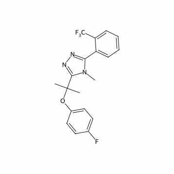 Cn1c(-c2ccccc2C(F)(F)F)nnc1C(C)(C)Oc1ccc(F)cc1